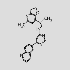 Cc1cc([C@H](C)CNc2cc(-c3ccc4ncccc4c3)ncn2)c2c(n1)CCO2